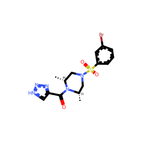 C[C@@H]1CN(S(=O)(=O)c2cccc(Br)c2)C[C@H](C)N1C(=O)c1c[nH]nn1